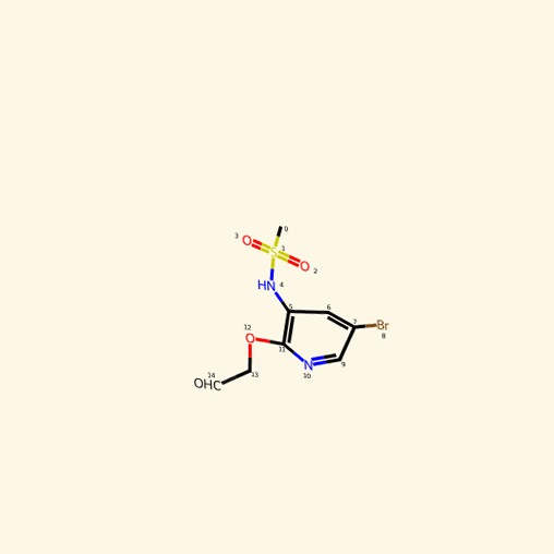 CS(=O)(=O)Nc1cc(Br)cnc1OCC=O